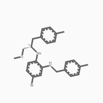 COC[C@H](Cc1ccc(C)cc1)Nc1ccc(Br)cc1NCc1ccc(C)cc1